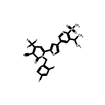 CC(C)c1cc(-c2coc(-c3cc(C(F)(F)F)c(C#N)c(=O)n3Cc3ccc(F)cc3F)c2)cnc1S(C)(=O)=O